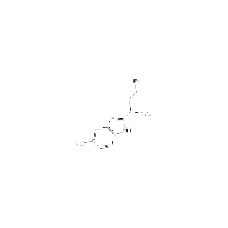 CC(=O)OC(CCC(C)C)c1nc2cc(C#N)ccc2[nH]1